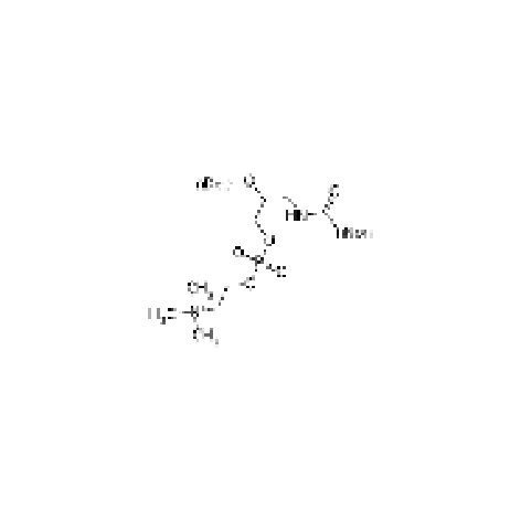 CCCCCCCCCCO[C@H](CNC(=O)CCCCCCCCC)COP(=O)([O-])OCC[N+](C)(C)C